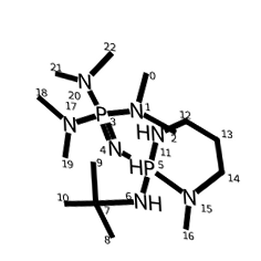 CN(C)P(=N[PH]1(NC(C)(C)C)NCCCN1C)(N(C)C)N(C)C